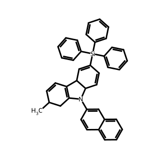 CC1C=CC2=C(C1)N(c1ccc3ccccc3c1)C1C=CC([Si](c3ccccc3)(c3ccccc3)c3ccccc3)=CC21